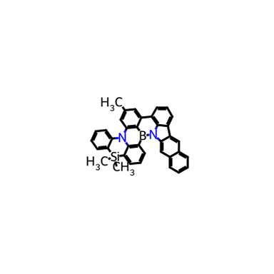 Cc1cc2c3c(c1)N1c4ccccc4[Si](C)(C)c4cccc(c41)B3n1c3cc4ccccc4cc3c3cccc-2c31